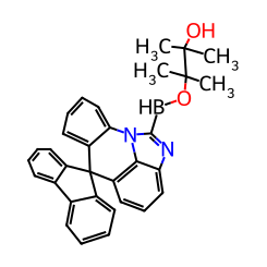 CC(C)(O)C(C)(C)OBc1nc2cccc3c2n1-c1ccccc1C31c2ccccc2-c2ccccc21